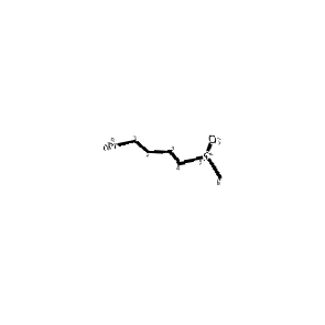 CCC[CH]CCC[S+](C)[O-]